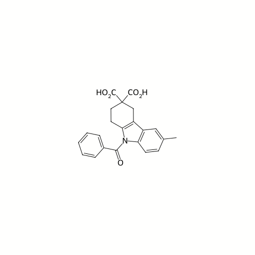 Cc1ccc2c(c1)c1c(n2C(=O)c2ccccc2)CCC(C(=O)O)(C(=O)O)C1